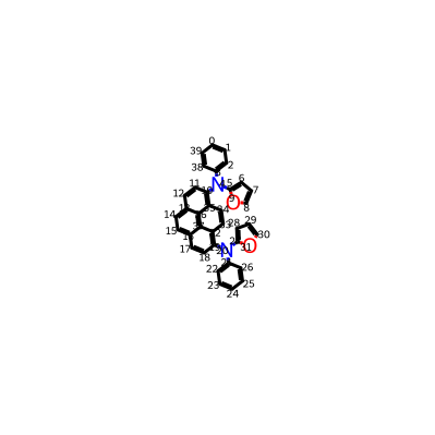 c1ccc(N(c2ccco2)c2ccc3ccc4ccc(N(c5ccccc5)c5ccco5)c5ccc2c3c45)cc1